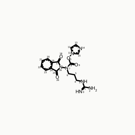 N=C(N)NCCCN(C(=O)On1ccnc1)N1C(=O)c2ccccc2C1=O